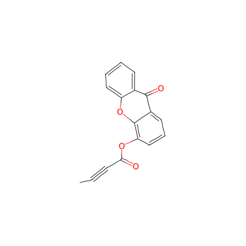 CC#CC(=O)Oc1cccc2c(=O)c3ccccc3oc12